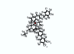 [2H]c1c([2H])c(F)c(F)c(C([2H])([2H])Sc2c([2H])c(=O)c3c([2H])c([2H])c([2H])c([2H])c3n2C([2H])([2H])C(=O)N(C([2H])([2H])c2c([2H])c([2H])c(-c3c([2H])c([2H])c(C(F)(F)F)c(C)c3[2H])c([2H])c2[2H])C2([2H])C([2H])([2H])C([2H])([2H])N(C([2H])([2H])COC([2H])([2H])[2H])C([2H])([2H])C2([2H])[2H])c1[2H]